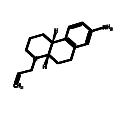 C=CCN1CCC[C@H]2c3ccc(N)cc3CC[C@@H]21